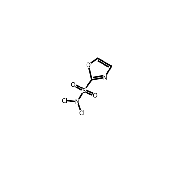 O=S(=O)(c1ncco1)N(Cl)Cl